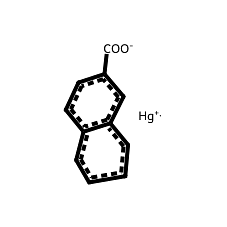 O=C([O-])c1ccc2ccccc2c1.[Hg+]